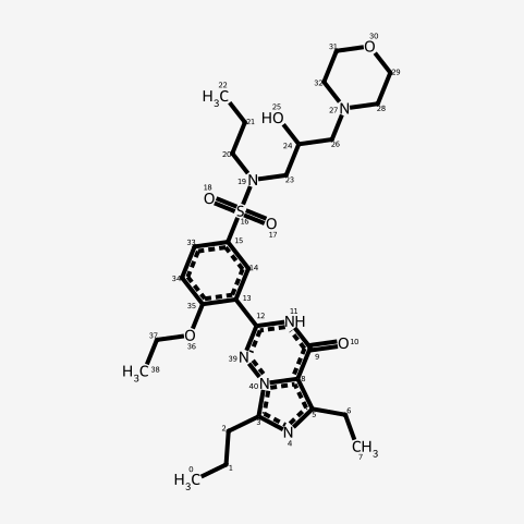 CCCc1nc(CC)c2c(=O)[nH]c(-c3cc(S(=O)(=O)N(CCC)CC(O)CN4CCOCC4)ccc3OCC)nn12